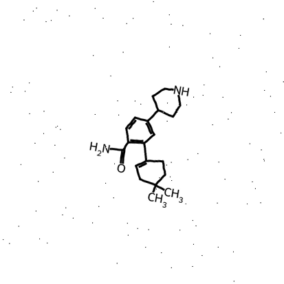 CC1(C)CC=C(c2cc(C3CCNCC3)ccc2C(N)=O)CC1